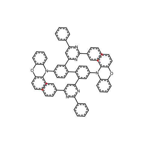 c1ccc(-c2cc(-c3cc(N4c5ccccc5Oc5ccccc54)ccc3-c3ccc(N4c5ccccc5Oc5ccccc54)cc3-c3cc(-c4ccccc4)nc(-c4ccccc4)n3)nc(-c3ccccc3)n2)cc1